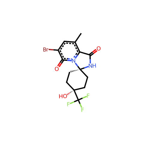 Cc1cc(Br)c(=O)n2c1C(=O)N[C@]21CC[C@](O)(C(F)(F)F)CC1